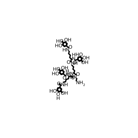 NCCNC(=O)C(CCCCNC(=O)C(CCCCNC(=O)c1cc(O)c(O)c(O)c1)NC(=O)c1cc(O)c(O)c(O)c1)NC(=O)C(CCCCNC(=O)c1cc(O)c(O)c(O)c1)NC(=O)c1cc(O)c(O)c(O)c1